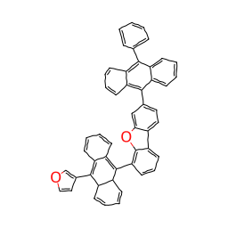 C1=CC2C(c3ccoc3)=c3ccccc3=C(c3cccc4c3oc3cc(-c5c6ccccc6c(-c6ccccc6)c6ccccc56)ccc34)C2C=C1